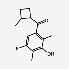 Cc1c(F)cc(C(=O)C2CCC2C)c(C)c1O